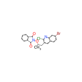 CC(Cc1cc2ccc(Br)cc2nc1Cl)ON1C(=O)c2ccccc2C1=O